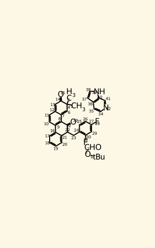 CC(C)(C)OC=O.CC1(C)C=c2c3c(ccc2=CC1=O)-c1ccccc1C(Cc1ccc(F)cc1F)C3=O.c1cc2cc[nH]c2cn1